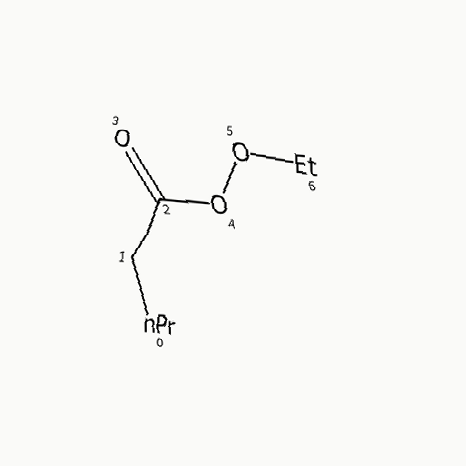 CCCCC(=O)OOCC